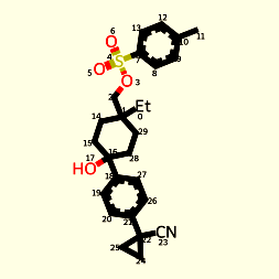 CCC1(COS(=O)(=O)c2ccc(C)cc2)CCC(O)(c2ccc(C3(C#N)CC3)cc2)CC1